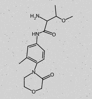 COC(C)C(N)C(=O)Nc1ccc(N2CCOCC2=O)c(C)c1